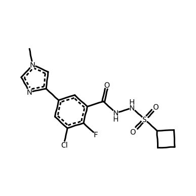 Cn1cnc(-c2cc(Cl)c(F)c(C(=O)NNS(=O)(=O)C3CCC3)c2)c1